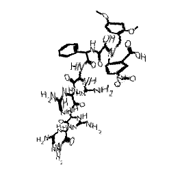 COc1ccc(CN(c2ccc([N+](=O)[O-])cc2C(=O)O)C(O)C(=O)NC(C(=O)NC(NC(=N)N)C(=O)NC(NC(=N)N)C(=O)NC(NC(=N)N)C(=O)NC(NC(=N)N)C(N)=O)c2ccccc2)c(OC)c1